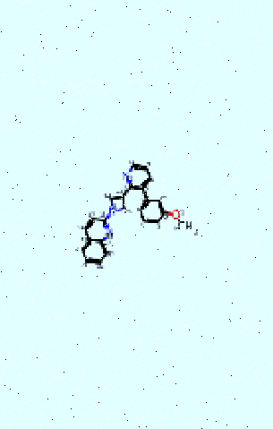 COc1cccc(-c2cccnc2C2CN(c3ccc4ccccc4n3)C2)c1